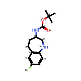 CC(C)(C)OC(=O)NC1CCc2cc(F)ccc2NC1